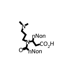 CCCCCCCCCC(=O)N(CCCN(C)C)C(CCCCCCCCC)CC(=O)O